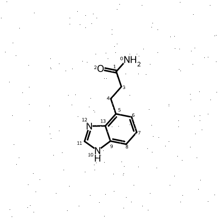 NC(=O)CCc1cccc2[nH]cnc12